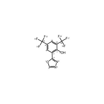 Oc1c(-c2nnco2)cc(C(F)(F)F)cc1C(F)(F)F